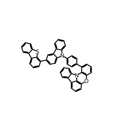 c1cc2c(c(-c3ccc(-n4c5ccccc5c5cc(-c6cccc7c6sc6ccccc67)ccc54)cc3)c1)-n1c3ccccc3c3cccc(c31)O2